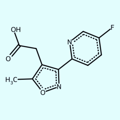 Cc1onc(-c2ccc(F)cn2)c1CC(=O)O